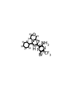 Nc1nc(C(F)(F)F)c(Br)nc1C(=O)NC(C1CCCCC1)N1CCOCC1